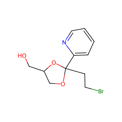 OCC1COC(CCBr)(c2ccccn2)O1